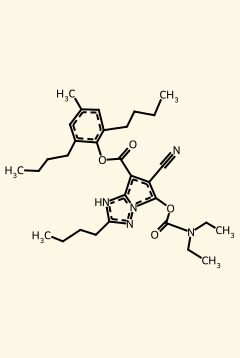 CCCCc1nn2c(OC(=O)N(CC)CC)c(C#N)c(C(=O)Oc3c(CCCC)cc(C)cc3CCCC)c2[nH]1